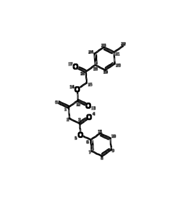 C=C(CC(=O)Oc1ccccc1)C(=O)OCC(=O)c1ccc(C)cc1